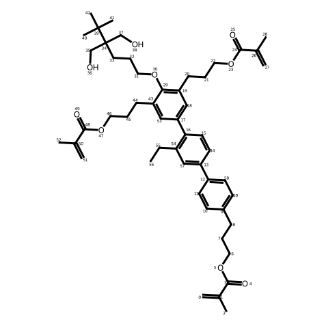 C=C(C)C(=O)OCCCc1ccc(-c2ccc(-c3cc(CCCOC(=O)C(=C)C)c(OCCCC(CO)(CO)C(C)(C)C)c(CCCOC(=O)C(=C)C)c3)c(CC)c2)cc1